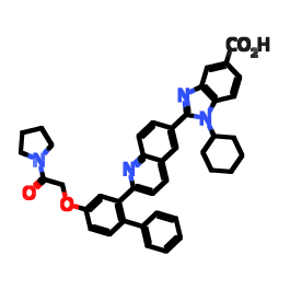 O=C(O)c1ccc2c(c1)nc(-c1ccc3nc(-c4cc(OCC(=O)N5CCCC5)ccc4-c4ccccc4)ccc3c1)n2C1CCCCC1